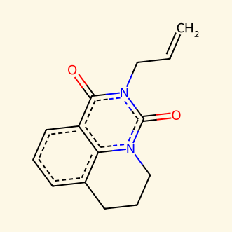 C=CCn1c(=O)c2cccc3c2n(c1=O)CCC3